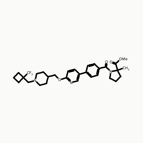 COC(=O)C1(C)CCCN1C(=O)c1ccc(-c2ccc(OCC3CCN(CC4(C(F)(F)F)CCC4)CC3)nc2)cc1